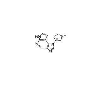 CN1CC[C@@H](n2cnc3cnc4[nH]ccc4c32)C1